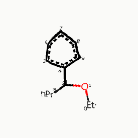 C[CH]OC(CCC)c1ccccc1